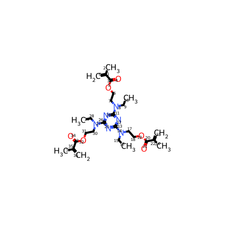 C=C(C)C(=O)OCCN(CC)c1nc(N(CC)CCOC(=O)C(=C)C)nc(N(CC)CCOC(=O)C(=C)C)n1